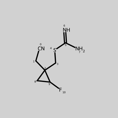 N#CCC1(CSC(=N)N)CC1F